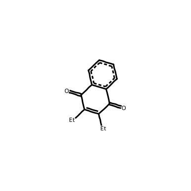 CCC1=C(CC)C(=O)c2ccccc2C1=O